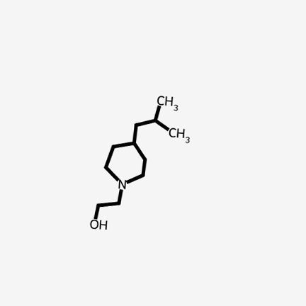 CC(C)CC1CCN(CCO)CC1